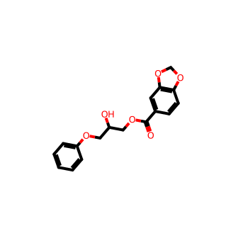 O=C(OCC(O)COc1ccccc1)c1ccc2c(c1)OCO2